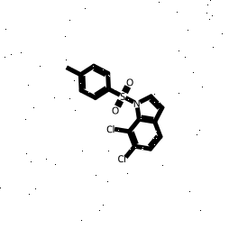 Cc1ccc(S(=O)(=O)n2ccc3ccc(Cl)c(Cl)c32)cc1